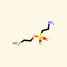 NCCS(=O)(=O)OCCC(=O)O